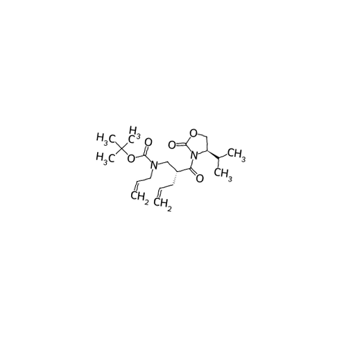 C=CC[C@H](CN(CC=C)C(=O)OC(C)(C)C)C(=O)N1C(=O)OC[C@H]1C(C)C